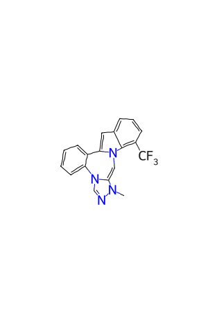 CN1N=CN2C1=Cn1c(cc3cccc(C(F)(F)F)c31)-c1ccccc12